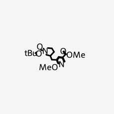 COC(=O)c1cnc(OC)c(CC2CCCN(C(=O)OC(C)(C)C)C2)c1